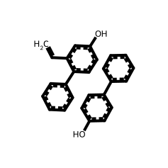 C=Cc1cc(O)ccc1-c1ccccc1.Oc1ccc(-c2ccccc2)cc1